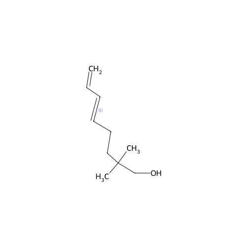 C=C/C=C/CCC(C)(C)CO